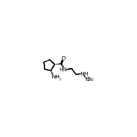 CC(C)(C)NCCNC(=O)[C@@H]1CCC[C@@H]1N